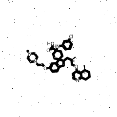 C[C@@H](COc1ccnc2c1[C@@H](C)CCC2)CC1Cc2ccc(OCCN3CCN(C)CC3)cc2C12CCC(Nc1cccc(Cl)c1)(C(=O)O)CC2